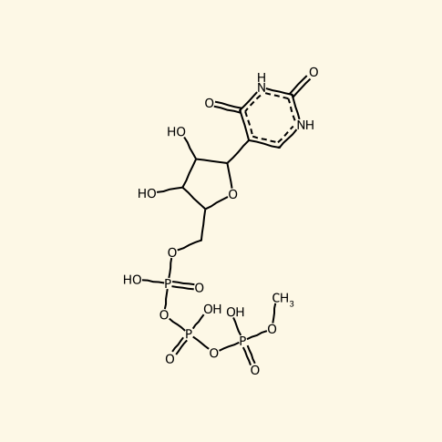 COP(=O)(O)OP(=O)(O)OP(=O)(O)OCC1OC(c2c[nH]c(=O)[nH]c2=O)C(O)C1O